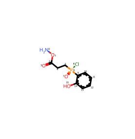 NOC(=O)CC[P@](=O)(Cl)c1ccccc1O